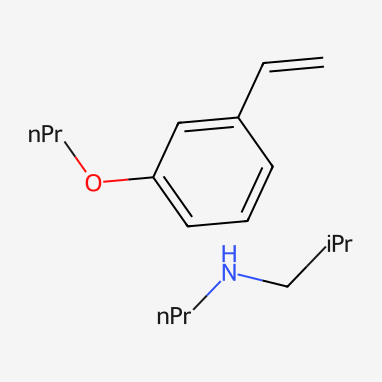 C=Cc1cccc(OCCC)c1.CCCNCC(C)C